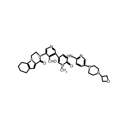 Cn1cc(-c2cncc(N3CCn4c(cc5c4CCCC5)C3=O)c2C=O)cc(Nc2ccc(N3CCN(C4COC4)CC3)cn2)c1=O